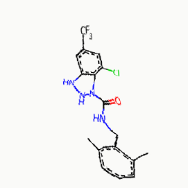 Cc1cccc(C)c1CNC(=O)N1NNc2cc(C(F)(F)F)cc(Cl)c21